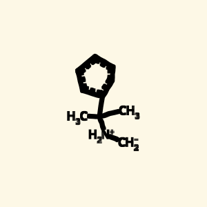 [CH2-][NH2+]C(C)(C)c1ccccc1